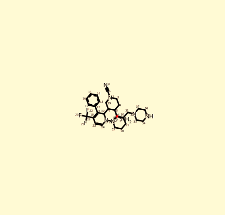 N#CN1CCC(C(N)=O)C(C2C(c3ccccc3)=C(C(F)(F)F)C=CN2N2CCCC(CN3CCNCC3)C2)C1